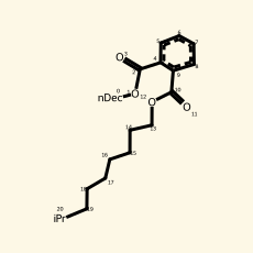 CCCCCCCCCCOC(=O)c1ccccc1C(=O)OCCCCCCCC(C)C